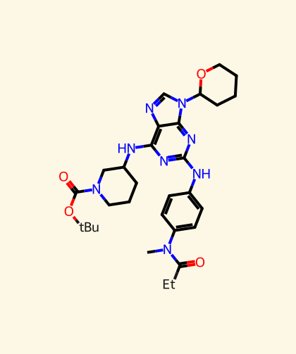 CCC(=O)N(C)c1ccc(Nc2nc(NC3CCCN(C(=O)OC(C)(C)C)C3)c3ncn(C4CCCCO4)c3n2)cc1